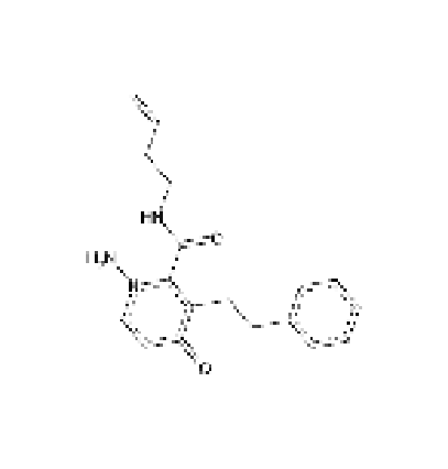 C=CCCNC(=O)c1c(CCc2ccccc2)c(=O)ccn1N